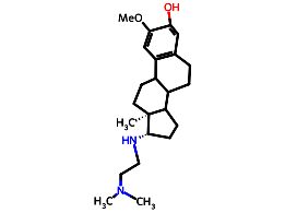 COc1cc2c(cc1O)CCC1C2CC[C@@]2(C)C1CC[C@@H]2NCCN(C)C